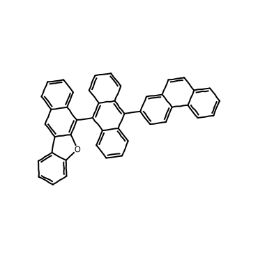 c1ccc2c(-c3c4ccccc4c(-c4ccc5c(ccc6ccccc65)c4)c4ccccc34)c3oc4ccccc4c3cc2c1